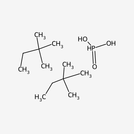 CCC(C)(C)C.CCC(C)(C)C.O=[PH](O)O